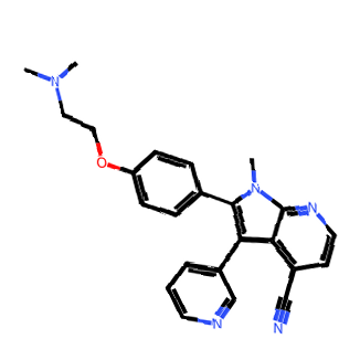 CN(C)CCOc1ccc(-c2c(-c3cccnc3)c3c(C#N)ccnc3n2C)cc1